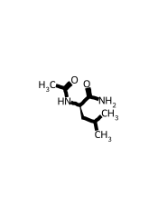 CC(=O)N[C@H](CC(C)C)C(N)=O